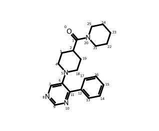 O=C(C1CCN(c2cncnc2-c2ccccc2)CC1)N1CCCCC1